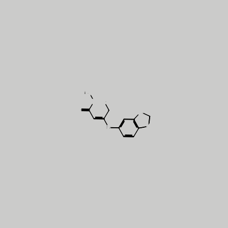 CCC(C)OC(=O)C=C(CC(=O)O)Nc1ccc2c(c1)OCO2